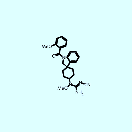 COc1ccccc1C(=O)NC[C@]1(c2ccccc2)CC[C@H](N(OC)C(N)=NC#N)CC1